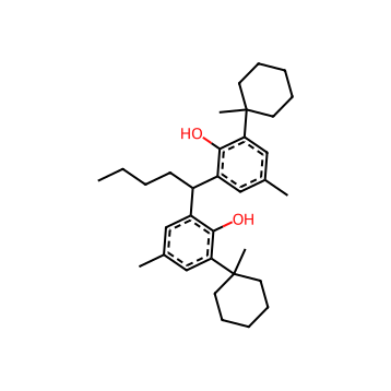 CCCCC(c1cc(C)cc(C2(C)CCCCC2)c1O)c1cc(C)cc(C2(C)CCCCC2)c1O